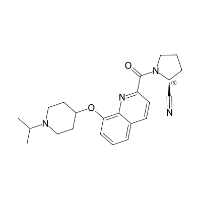 CC(C)N1CCC(Oc2cccc3ccc(C(=O)N4CCC[C@H]4C#N)nc23)CC1